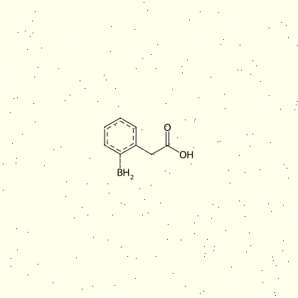 Bc1ccccc1CC(=O)O